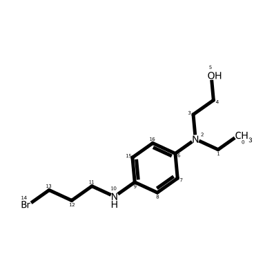 CCN(CCO)c1ccc(NCCCBr)cc1